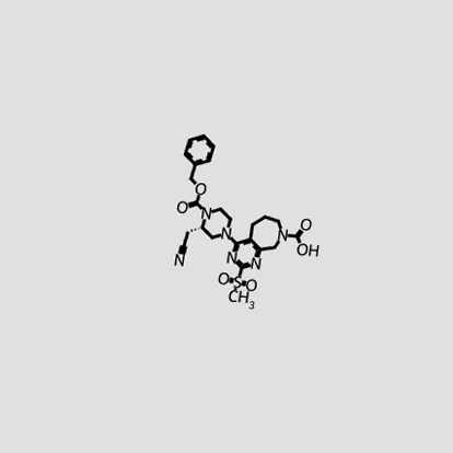 CS(=O)(=O)c1nc2c(c(N3CCN(C(=O)OCc4ccccc4)[C@@H](CC#N)C3)n1)CCCN(C(=O)O)C2